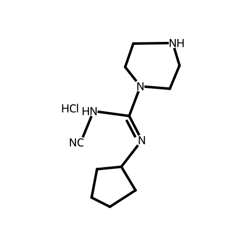 Cl.N#CNC(=NC1CCCC1)N1CCNCC1